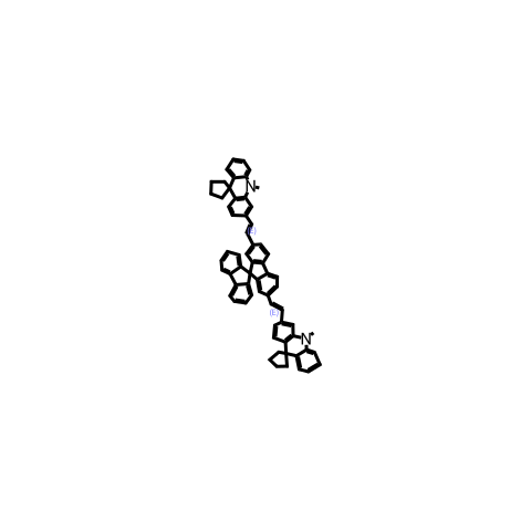 CN1c2ccccc2C2(CCCC2)c2ccc(/C=C/c3ccc4c(c3)C3(c5ccccc5-c5ccccc53)c3cc(/C=C/c5ccc6c(c5)N(C)c5ccccc5C65CCCC5)ccc3-4)cc21